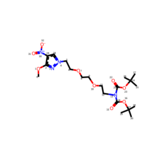 COc1nn(CCOCCOCCN(C(=O)OC(C)(C)C)C(=O)OC(C)(C)C)cc1[N+](=O)[O-]